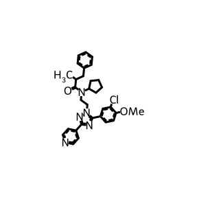 COc1ccc(-c2nc(-c3ccncc3)nn2CCN(C(=O)C(C)Cc2ccccc2)C2CCCC2)cc1Cl